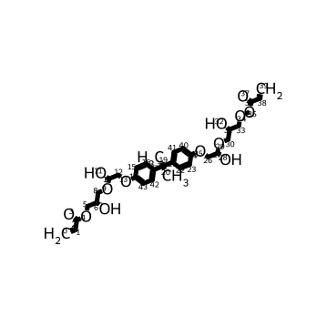 C=CC(=O)OCC(O)COC(O)COc1ccc(C(C)(C)c2ccc(OCC(O)OCC(O)COOC(=O)C=C)cc2)cc1